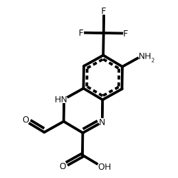 Nc1cc2c(cc1C(F)(F)F)NC(C=O)C(C(=O)O)=N2